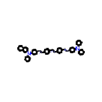 C(=C\c1ccc(/C=C/c2ccc(N(c3ccccc3)c3ccc4ccccc4c3)cc2)cc1)/c1ccc(/C=C/c2ccc(N(c3ccccc3)c3ccccc3)cc2)cc1